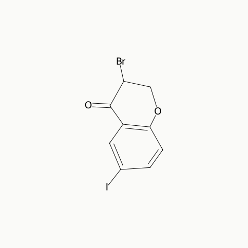 O=C1c2cc(I)ccc2OCC1Br